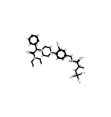 CCN(CC)C(=O)C(c1ccccc1)N1CCN(c2ccc(CNC(=O)C(C)CC(F)(F)F)cc2F)CC1